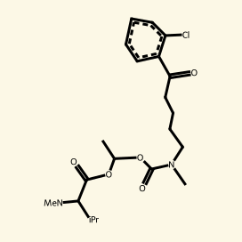 CNC(C(=O)OC(C)OC(=O)N(C)CCCCC(=O)c1ccccc1Cl)C(C)C